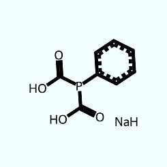 O=C(O)P(C(=O)O)c1ccccc1.[NaH]